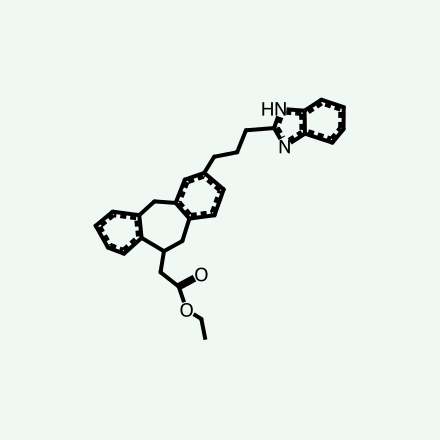 CCOC(=O)CC1Cc2ccc(CCCc3nc4ccccc4[nH]3)cc2Cc2ccccc21